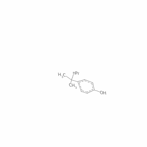 CCCC(C)(C)c1ccc(O)cc1